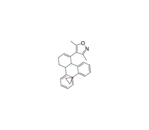 Cc1noc(C)c1C1=CCCC(c2ccccc2)C1c1ccccc1C1CC1